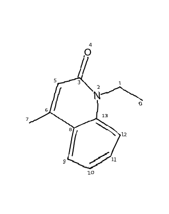 CCn1c(=O)cc(C)c2ccccc21